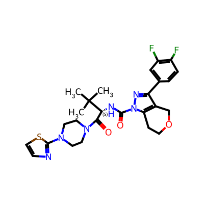 CC(C)(C)[C@H](NC(=O)n1nc(-c2ccc(F)c(F)c2)c2c1CCOC2)C(=O)N1CCN(c2nccs2)CC1